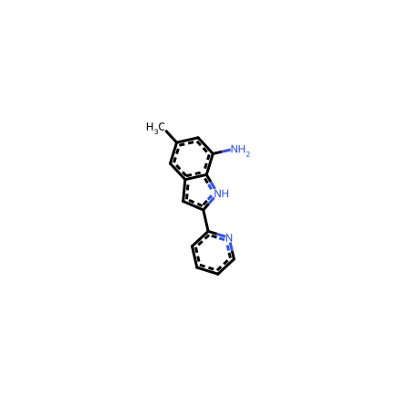 Cc1cc(N)c2[nH]c(-c3ccccn3)cc2c1